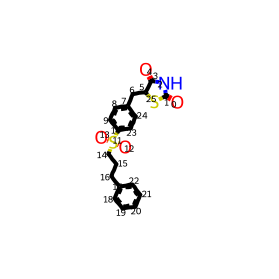 O=C1NC(=O)C(Cc2ccc(S(=O)(=O)CCCc3ccccc3)cc2)S1